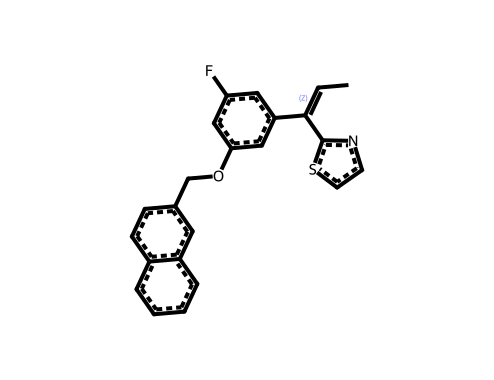 C/C=C(/c1cc(F)cc(OCc2ccc3ccccc3c2)c1)c1nccs1